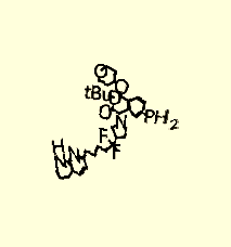 CC(C)(C)OC(=O)C(c1cc(P)ccc1COC1CCOCC1)N1CC[C@@H](C(F)(F)CCCCc2ccc3c(n2)NCCC3)C1